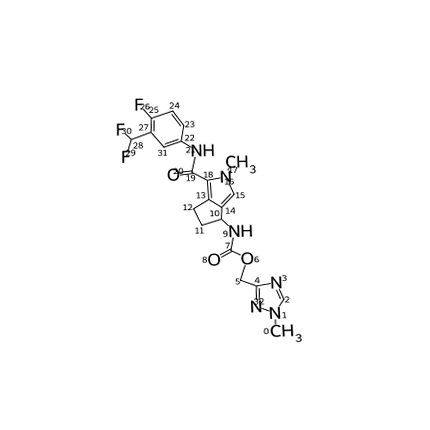 Cn1cnc(COC(=O)NC2CCc3c2cn(C)c3C(=O)Nc2ccc(F)c(C(F)F)c2)n1